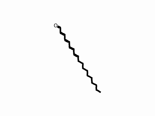 CCCCCCCCCCC=CC=CC=CC=CC=O